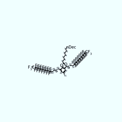 CCCCCCCCCCCCCCCCCC(=O)Oc1c(CSCCC(F)(F)C(F)(F)C(F)(F)C(F)(F)C(F)(F)C(F)(F)C(F)(F)C(F)(F)F)cc(C)cc1CSCCC(F)(F)C(F)(F)C(F)(F)C(F)(F)C(F)(F)C(F)(F)C(F)(F)C(F)(F)F